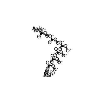 O=C([O-])O[O-].O=C([O-])O[O-].O=C([O-])O[O-].O=C([O-])O[O-].O=C([O-])O[O-].O=C([O-])O[O-].[Au+3].[Au+3].[Mg+2].[Mg+2].[Mg+2]